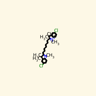 CN1\C(=C/C=C/C=C/C=C/C2=[N+](C)c3ccc(Cl)cc3C2(C)C)C(C)(C)c2cc(Cl)ccc21